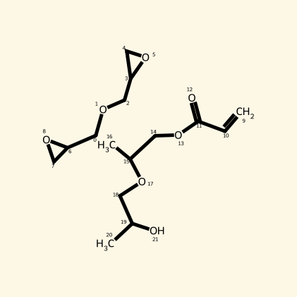 C(OCC1CO1)C1CO1.C=CC(=O)OCC(C)OCC(C)O